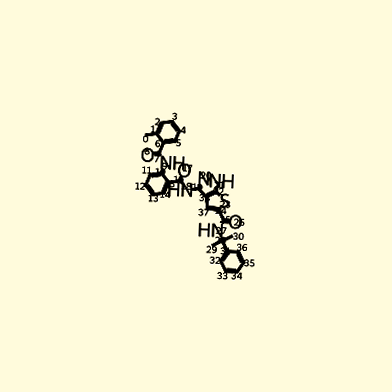 Cc1ccccc1C(=O)Nc1ccccc1C(=O)Nc1n[nH]c2sc(C(=O)NC(C)(C)c3ccccc3)cc12